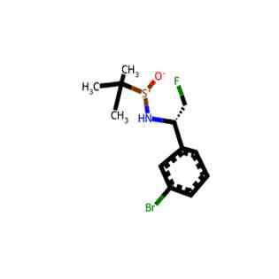 CC(C)(C)[S+]([O-])N[C@H](CF)c1cccc(Br)c1